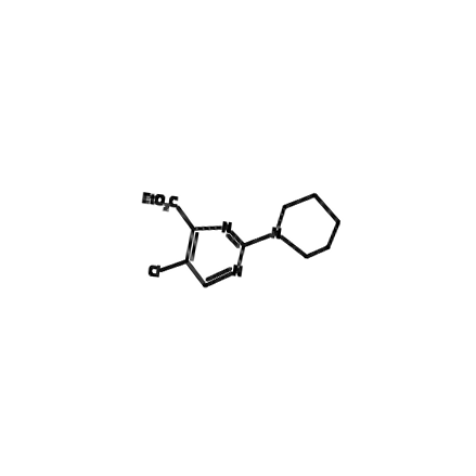 CCOC(=O)c1nc(N2CCCCC2)ncc1Cl